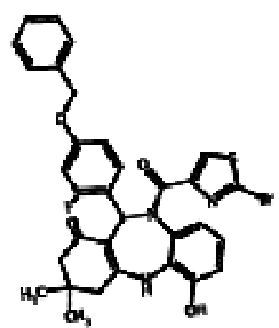 CC1(C)CC(=O)C2=C(C1)Nc1c(O)cccc1N(C(=O)c1csc(Br)n1)C2c1ccc(OCc2ccccc2)cc1F